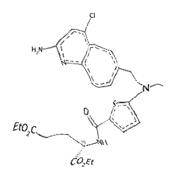 CCOC(=O)CC[C@H](NC(=O)c1ccc(N(C)Cc2ccc3nc(N)cc(Cl)c3c2)s1)C(=O)OCC